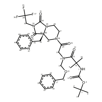 CC(C)(C)OC(=O)NC(C)(C)C(=O)N(COCc1ccccc1)CC(=O)N1CCN2C(=O)N(CC(F)(F)F)C(=O)[C@@]2(Cc2ccccn2)C1